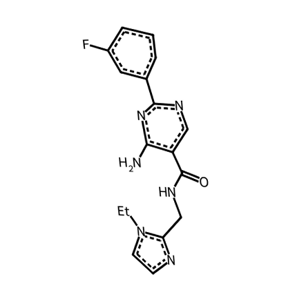 CCn1ccnc1CNC(=O)c1cnc(-c2cccc(F)c2)nc1N